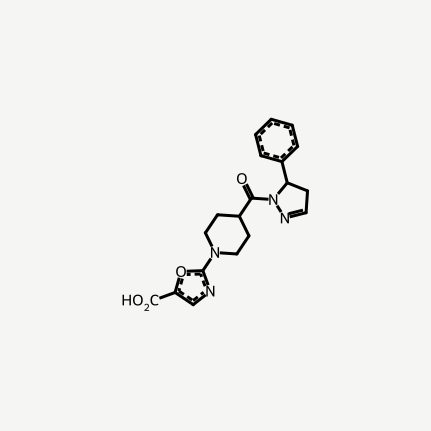 O=C(O)c1cnc(N2CCC(C(=O)N3N=CCC3c3ccccc3)CC2)o1